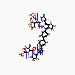 COC(=O)NC(C(=O)N1CCCC1c1[nH]c(-c2ccc(-c3ccc(-c4cnc(C5CCCN5C(=O)[C@@H](NC(=O)OC)C(C)C)[nH]4)cc3)cc2)c2c1CCC2)C1CCOC1